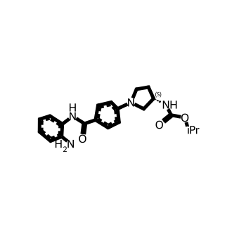 CC(C)OC(=O)N[C@H]1CCN(c2ccc(C(=O)Nc3ccccc3N)cc2)C1